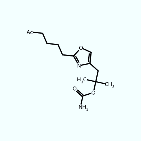 CC(=O)CCCCc1nc(CC(C)(C)OC(N)=O)co1